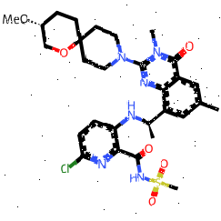 CO[C@@H]1CCC2(CCN(c3nc4c([C@@H](C)Nc5ccc(Cl)nc5C(=O)NS(C)(=O)=O)cc(C)cc4c(=O)n3C)CC2)OC1